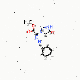 COC(=O)C(=NN=Cc1ccccc1)N1CNC(=O)C1